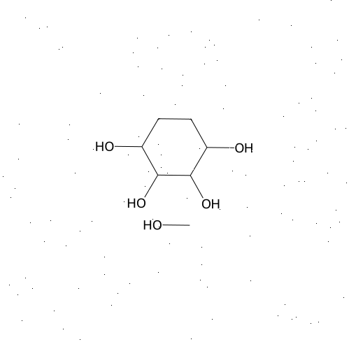 CO.OC1CCC(O)C(O)C1O